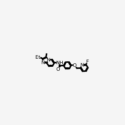 CCc1nc2ccc(NC(=O)c3ccc(OCc4cccc(F)n4)cc3)cn2c1C